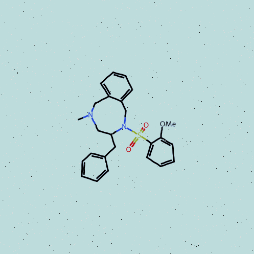 COc1ccccc1S(=O)(=O)N1Cc2ccccc2CN(C)CC1Cc1ccccc1